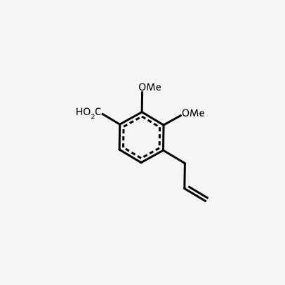 C=CCc1ccc(C(=O)O)c(OC)c1OC